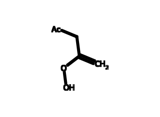 C=C(CC(C)=O)OO